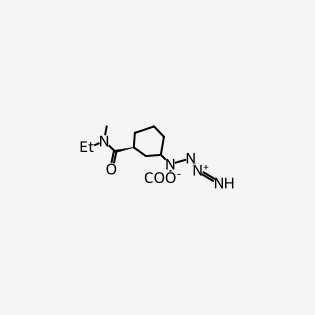 CCN(C)C(=O)[C@H]1CCCC(N(N=[N+]=N)C(=O)[O-])C1